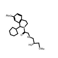 COC[C@@H](O)CNCC(=O)N1CCc2ccc(OC)cc2C1C1CCCCC1